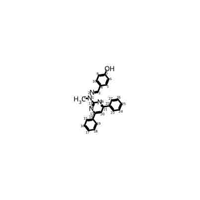 CN(N=Cc1ccc(O)cc1)c1nc(-c2ccccc2)cc(-c2ccccc2)n1